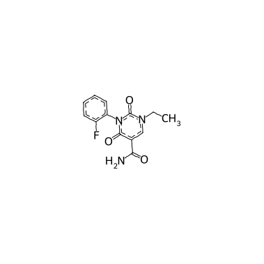 CCn1cc(C(N)=O)c(=O)n(-c2ccccc2F)c1=O